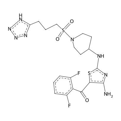 Nc1nc(NC2CCN(S(=O)(=O)CCCc3nnn[nH]3)CC2)sc1C(=O)c1c(F)cccc1F